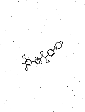 COc1cc(-c2nc(C(=O)C(OC)c3ccc(N4CCOCC4)cc3)oc2C)cc(OC)c1C